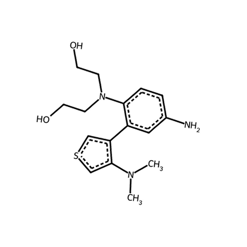 CN(C)c1cscc1-c1cc(N)ccc1N(CCO)CCO